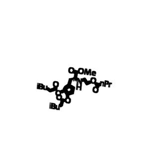 CCCC(=O)OCCN[C@@H](Cc1ccc(OC(=O)CC(C)CC)c(OC(=O)CC(C)CC)c1)C(=O)OC